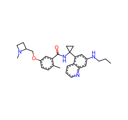 CCCNc1cc(C2(NC(=O)c3cc(OCC4CCN4C)ccc3C)CC2)c2cccnc2c1